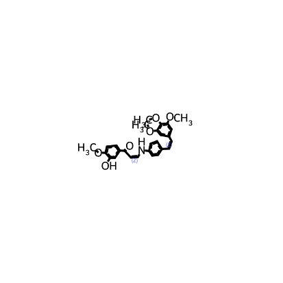 COc1ccc(C(=O)/C=C\Nc2ccc(/C=C\c3cc(OC)c(OC)c(OC)c3)cc2)cc1O